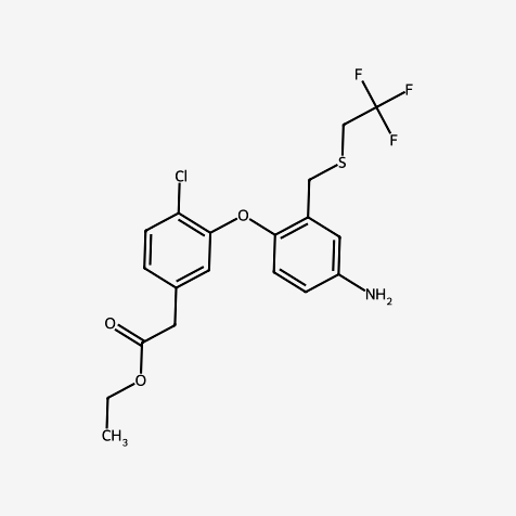 CCOC(=O)Cc1ccc(Cl)c(Oc2ccc(N)cc2CSCC(F)(F)F)c1